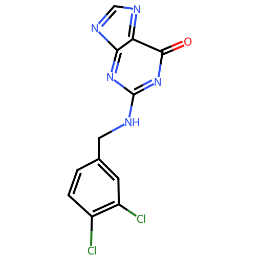 O=C1N=C(NCc2ccc(Cl)c(Cl)c2)N=C2N=CN=C12